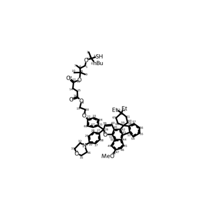 CCCCC(C)(S)OCC(C)C(C)(C)OC(=O)CCC(=O)OCCOc1ccc(C2(c3ccc(N4CCOCC4)cc3)C=Cc3c4c(c5ccc(OC)cc5c3O2)-c2ccccc2C42CCC(CC)(CC)CC2)cc1